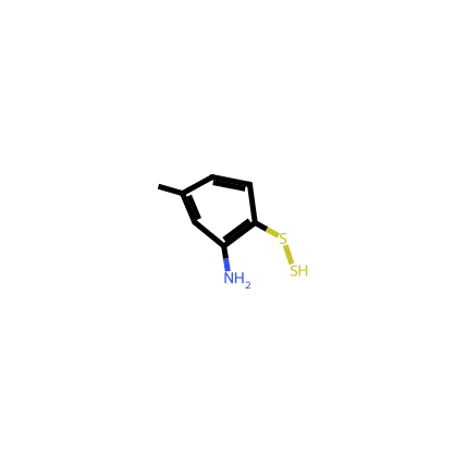 Cc1ccc(SS)c(N)c1